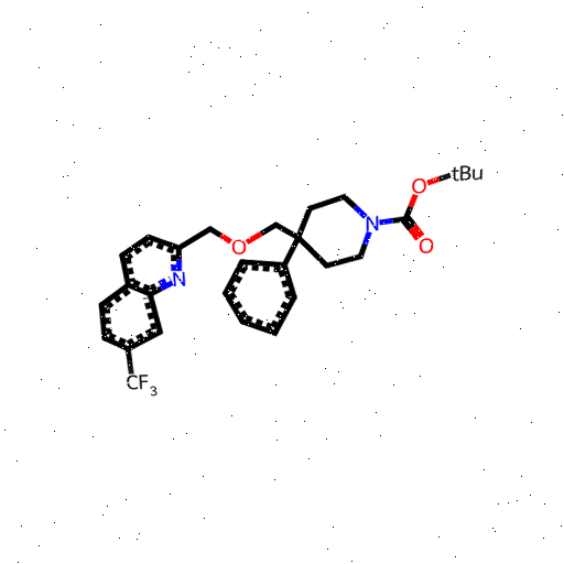 CC(C)(C)OC(=O)N1CCC(COCc2ccc3ccc(C(F)(F)F)cc3n2)(c2ccccc2)CC1